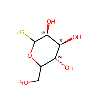 OCC1OC(S)[C@@H](O)[C@@H](O)[C@@H]1O